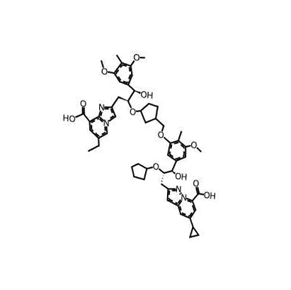 CCc1cc(C(=O)O)c2nc(C[C@H](OC3CCC(COc4cc([C@@H](O)[C@H](Cc5cc6cc(C7CC7)cc(C(=O)O)n6n5)OC5CCCC5)cc(OC)c4C)C3)[C@H](O)c3cc(OC)c(C)c(OC)c3)cn2c1